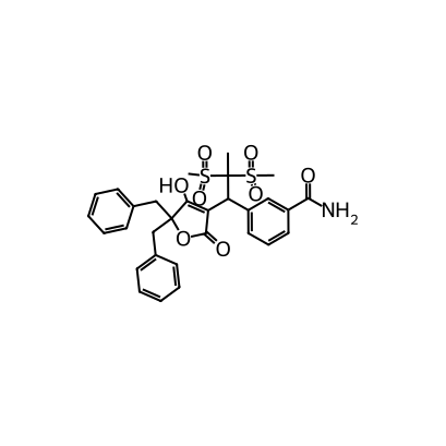 CC(C(C1=C(O)C(Cc2ccccc2)(Cc2ccccc2)OC1=O)c1cccc(C(N)=O)c1)(S(C)(=O)=O)S(C)(=O)=O